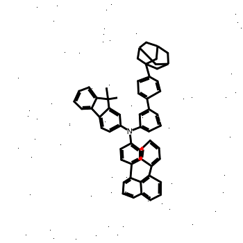 CC1(C)c2ccccc2-c2ccc(N(c3ccc(-c4cccc5cccc(-c6ccccc6)c45)cc3)c3cccc(-c4ccc(C56CC7CC(CC(C7)C5)C6)cc4)c3)cc21